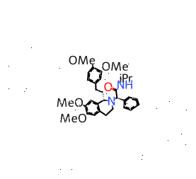 COc1ccc(CC[C@H]2c3cc(OC)c(OC)cc3CCN2[C@@H](C(=O)NC(C)C)c2ccccc2)cc1OC